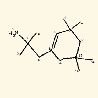 CC(C)(N)CC1=CC(C)(C)CC(C)(C)C1